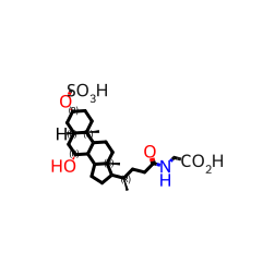 C[C@H](CCC(=O)NCC(=O)O)C1CCC2C3C(CC[C@@]21C)[C@@]1(C)CC[C@@H](OS(=O)(=O)O)C[C@H]1C[C@H]3O